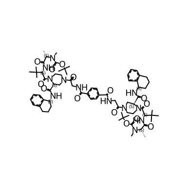 C[C@@H](C(=O)N[C@H](C(=O)N1CCN(C(=O)CNC(=O)c2ccc(C(=O)NCC(=O)N3CCN(C(=O)[C@@H](NC(=O)[C@H](C)N(C)C(=O)OC(C)(C)C)C(C)(C)C)[C@H](C(=O)N[C@@H]4CCCc5ccccc54)C3)cc2)C[C@H]1C(=O)N[C@@H]1CCCc2ccccc21)C(C)(C)C)N(C)C(=O)OC(C)(C)C